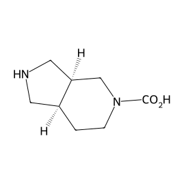 O=C(O)N1CC[C@H]2CNC[C@H]2C1